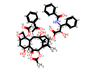 CC(=O)O[C@H]1C(=O)[C@@]2(C)C([C@H](CC(=O)c3ccccc3)[C@]3(O)C[C@H](OC(=O)[C@H](O)[C@@H](NC(=O)c4ccccc4)c4ccccc4)C(C)=C1C3(C)C)[C@]1(OC(C)=O)COC1C[C@@H]2O